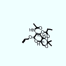 C=CCO[C@H]1O[C@@H]2COC(C)(C)O[C@@H]2[C@H](OC(=O)CC)[C@H]1NC(C)=O